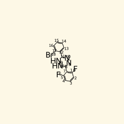 Fc1cccc(F)c1C1=NN=C(c2ccccc2Br)NN1